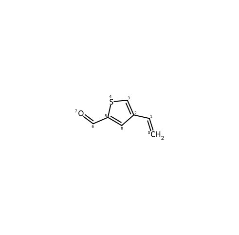 C=Cc1csc(C=O)c1